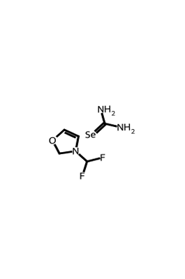 FC(F)N1C=COC1.NC(N)=[Se]